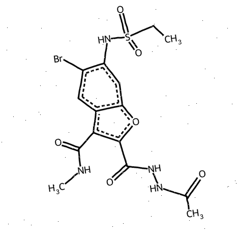 CCS(=O)(=O)Nc1cc2oc(C(=O)NNC(C)=O)c(C(=O)NC)c2cc1Br